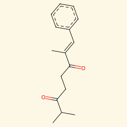 C/C(=C\c1ccccc1)C(=O)CCC(=O)C(C)C